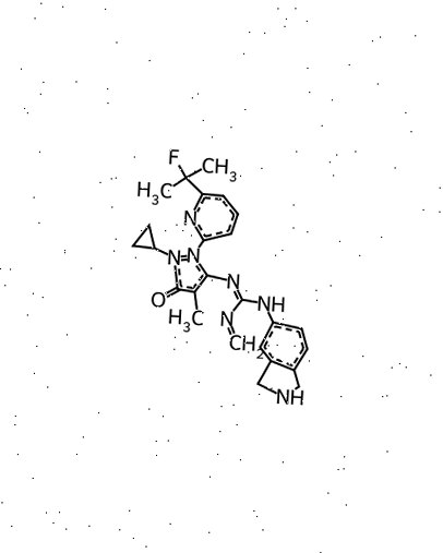 C=N/C(=N\c1c(C)c(=O)n(C2CC2)n1-c1cccc(C(C)(C)F)n1)Nc1ccc2c(c1)CNC2